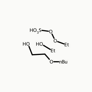 CCCCOCCO.CCO.CCOOS(=O)(=O)O